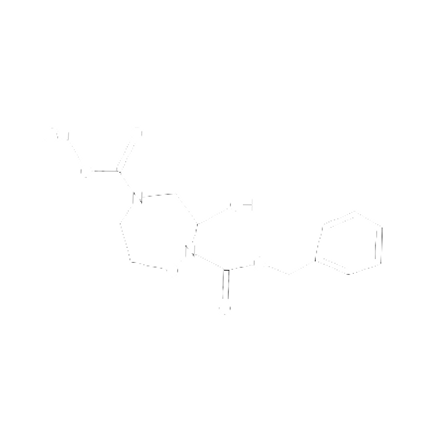 CC1CN(C(=O)OC(C)(C)C)CCON1C(=O)OCc1ccccc1